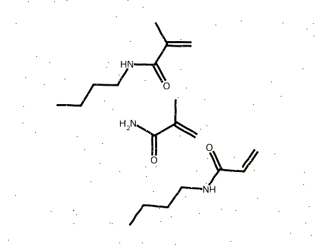 C=C(C)C(=O)NCCCC.C=C(C)C(N)=O.C=CC(=O)NCCCC